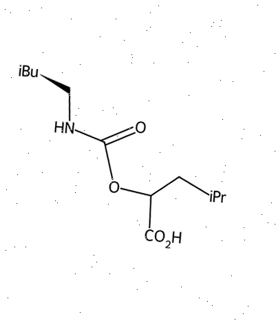 CC[C@H](C)CNC(=O)OC(CC(C)C)C(=O)O